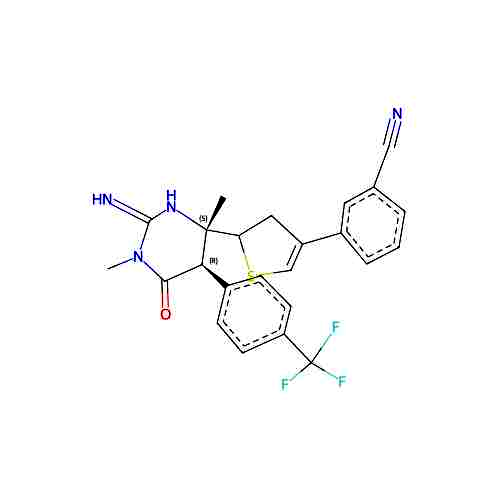 CN1C(=N)N[C@](C)(C2CC(c3cccc(C#N)c3)=CS2)[C@@H](c2ccc(C(F)(F)F)cc2)C1=O